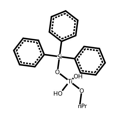 CCC[O][Ti]([OH])([OH])[O][Si](c1ccccc1)(c1ccccc1)c1ccccc1